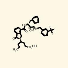 CCCC(CCC)N1Cc2c(C(=O)N[C@@H](Cc3ccccc3)[C@@H](O)CNCc3cccc(C(F)(F)F)c3)cccc2C1=O.Cl